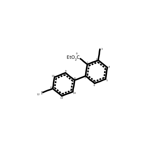 CCOC(=O)c1c(C)cccc1-c1ccc(I)cc1